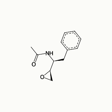 CC(=O)N[C@@H](Cc1ccccc1)[C@H]1CO1